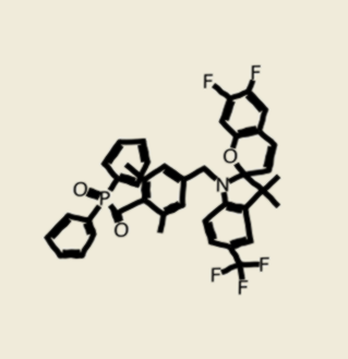 Cc1cc(CN2c3ccc(C(F)(F)F)cc3C(C)(C)C23C=Cc2cc(F)c(F)cc2O3)cc(C)c1C(=O)P(=O)(c1ccccc1)c1ccccc1